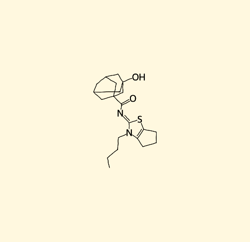 CCCCn1c2c(s/c1=N\C(=O)C13CC4CC(CC(O)(C4)C1)C3)CCC2